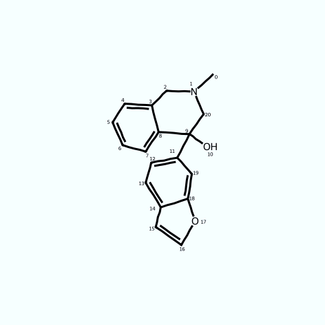 CN1Cc2ccccc2C(O)(c2ccc3ccoc3c2)C1